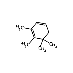 [CH2]C1=C(C)C=CCC1(C)C